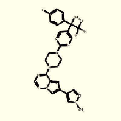 [2H]C([2H])([2H])C(N)(c1ccc(F)cc1)c1cnc(N2CCN(c3ncnn4cc(-c5cnn(C)c5)cc34)CC2)nc1